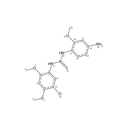 COc1cc(OC)c(NC(=S)Nc2ccc(N)cc2OC)cc1Cl